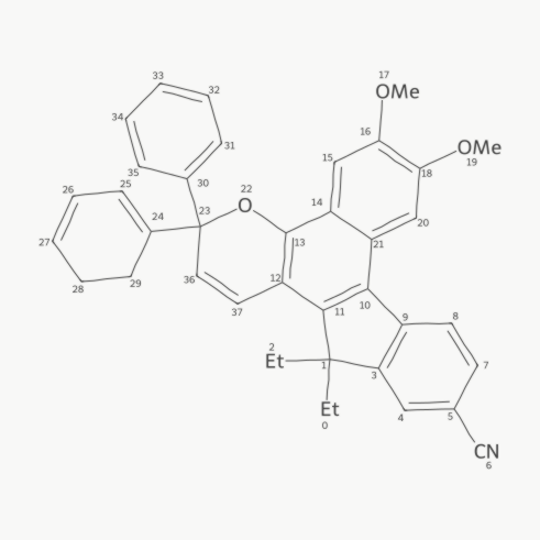 CCC1(CC)c2cc(C#N)ccc2-c2c1c1c(c3cc(OC)c(OC)cc23)OC(C2=CC=CCC2)(c2ccccc2)C=C1